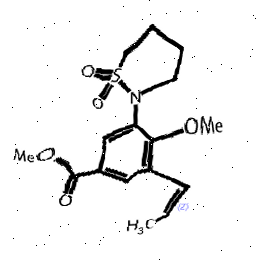 C/C=C\c1cc(C(=O)OC)cc(N2CCCCS2(=O)=O)c1OC